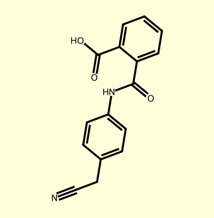 N#CCc1ccc(NC(=O)c2ccccc2C(=O)O)cc1